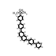 C[Si](C)(C)c1ccc(-c2ccc(-c3ccc4ccc(-c5ccc(-c6cccnc6)cc5)cc4c3)cc2)cc1